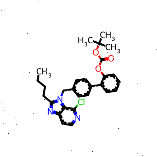 CCCCc1nc2ccnc(Cl)c2n1Cc1ccc(-c2ccccc2OC(=O)OC(C)(C)C)cc1